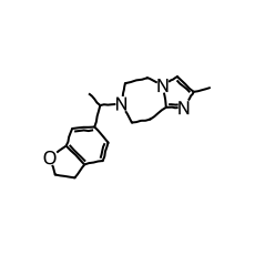 Cc1cn2c(n1)CCN(C(C)c1ccc3c(c1)OCC3)CC2